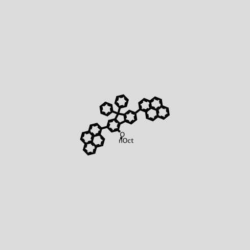 CCCCCCCCOc1cc(-c2ccc3ccc4cccc5ccc2c3c45)cc2c1-c1ccc(-c3ccc4ccc5cccc6ccc3c4c56)cc1C2(c1ccccc1)c1ccccc1